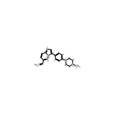 C=Cc1ccc2ncc(-c3ccc(N4CCN(C)CC4)cc3)n2n1